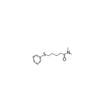 CN(C)C(=O)CCCCSc1ccccc1